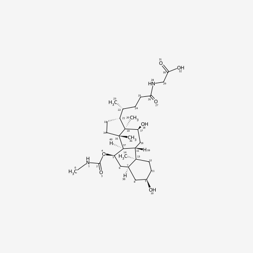 CNC(=O)O[C@@H]1C[C@@H]2C[C@H](O)CC[C@]2(C)[C@H]2C[C@H](O)[C@]3(C)[C@@H]([C@H](C)CCC(=O)NCC(=O)O)CC[C@@]3(C)[C@H]12